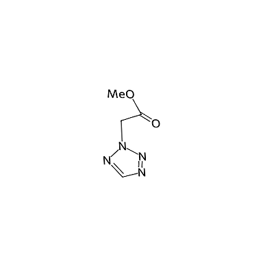 COC(=O)Cn1ncnn1